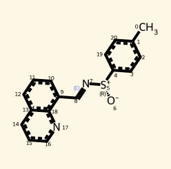 Cc1ccc([S@+]([O-])/N=C/c2cccc3cccnc23)cc1